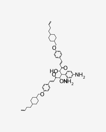 C=CCCC1CCC(COc2ccc(/C=C/C(=O)C(O)C(c3ccc(N)cc3N)C(O)C(=O)/C=C/c3ccc(OCC4CCC(CCC=C)CC4)cc3)cc2)CC1